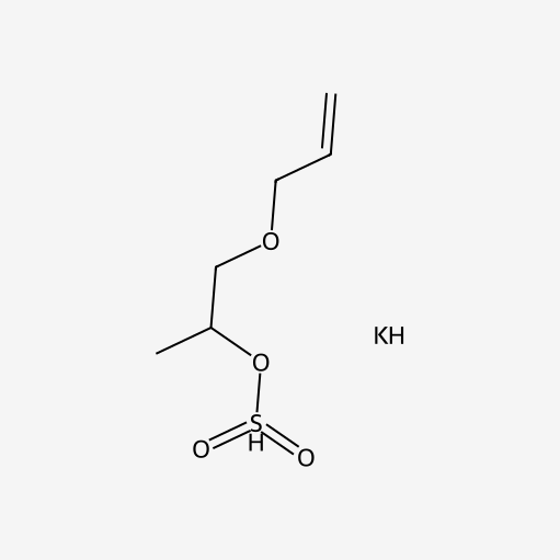 C=CCOCC(C)O[SH](=O)=O.[KH]